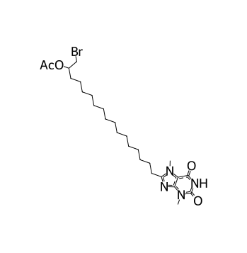 CC(=O)OC(CBr)CCCCCCCCCCCCCCCc1nc2c(c(=O)[nH]c(=O)n2C)n1C